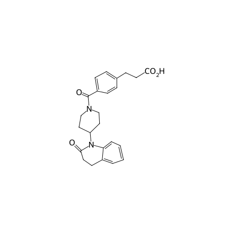 O=C(O)CCc1ccc(C(=O)N2CCC(N3C(=O)CCc4ccccc43)CC2)cc1